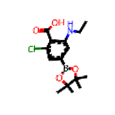 CCNc1cc(B2OC(C)(C)C(C)(C)O2)cc(Cl)c1C(=O)O